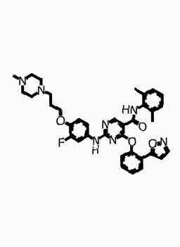 Cc1cccc(C)c1NC(=O)c1cnc(Nc2ccc(OCCCN3CCN(C)CC3)c(F)c2)nc1Oc1ccccc1-c1ccno1